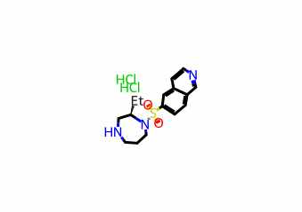 CC[C@@H]1CNCCCN1S(=O)(=O)c1ccc2cnccc2c1.Cl.Cl